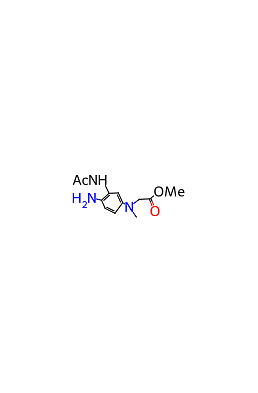 COC(=O)CN(C)c1ccc(N)c(NC(C)=O)c1